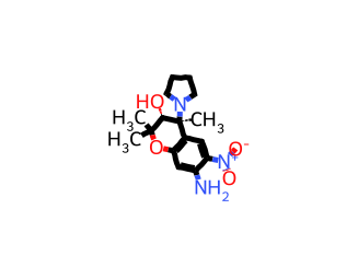 CC1(C)Oc2cc(N)c([N+](=O)[O-])cc2[C@](C)(N2CCCC2)[C@H]1O